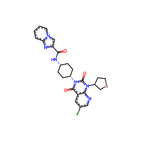 O=C(N[C@H]1CC[C@@H](n2c(=O)c3cc(F)cnc3n(C3CCSC3)c2=O)CC1)c1cn2ccccc2n1